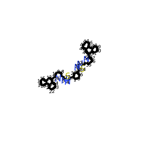 c1cc(-c2nnc(-c3cccc(-c4cc5ccccc5c5ccccc45)n3)s2)cc(-c2nnc(-c3cccc(-c4cc5ccccc5c5ccccc45)n3)s2)c1